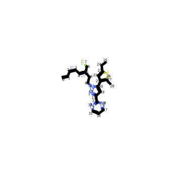 C=C/C=C\C=C(/CF)CCn1nc(-c2ncccn2)cc1-c1cc(CC)sc1C